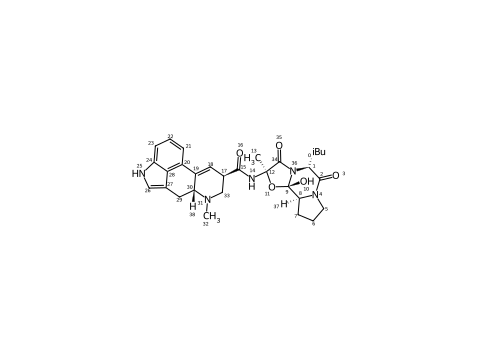 CC[C@@H](C)[C@H]1C(=O)N2CCC[C@H]2[C@]2(O)O[C@@](C)(NC(=O)[C@@H]3C=C4c5cccc6[nH]cc(c56)C[C@H]4N(C)C3)C(=O)N12